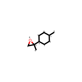 CC1CCC(C2(C)CO2)CC1